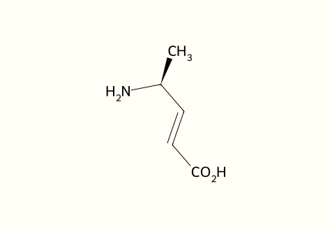 C[C@H](N)/C=C/C(=O)O